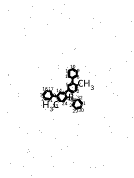 Cc1cc2c(cc1-c1ccccc1)-c1cc(-c3ccccc3)c(C)cc1B2c1ccccc1